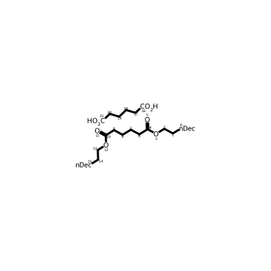 CCCCCCCCCCCCOC(=O)CCCCC(=O)OCCCCCCCCCCCC.O=C(O)CCCCC(=O)O